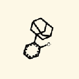 [O]c1ccccc1C12CC3CC(CC(C3)C1)C2